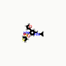 O=S(=O)(Nc1ccc(CNC2CC2)cc1-c1ccco1)c1ccsc1